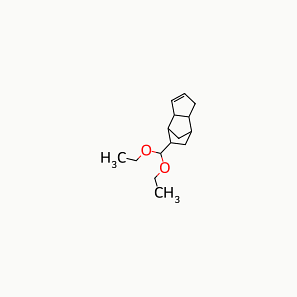 CCOC(OCC)C1CC2CC1C1C=CCC21